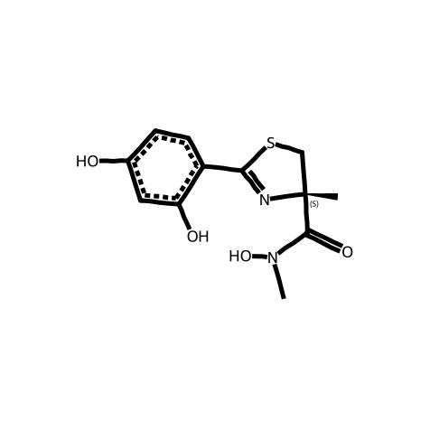 CN(O)C(=O)[C@@]1(C)CSC(c2ccc(O)cc2O)=N1